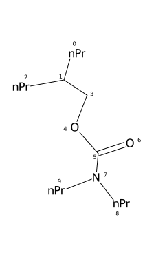 CCCC(CCC)COC(=O)N(CCC)CCC